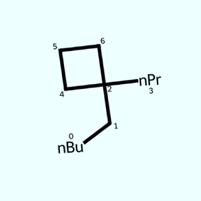 [CH2]CCCCC1(CCC)CCC1